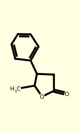 CC1OC(=O)CC1c1ccccc1